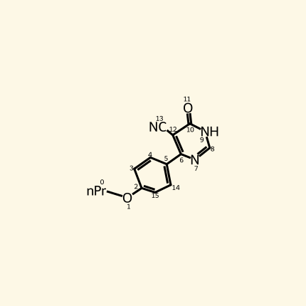 CCCOc1ccc(-c2nc[nH]c(=O)c2C#N)cc1